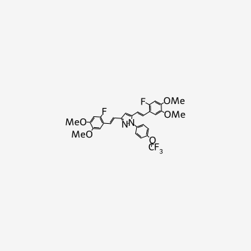 COc1cc(F)c(/C=C/c2cc(/C=C/c3cc(OC)c(OC)cc3F)n(-c3ccc(OC(F)(F)F)cc3)n2)cc1OC